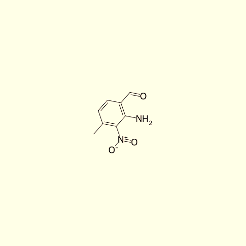 Cc1ccc(C=O)c(N)c1[N+](=O)[O-]